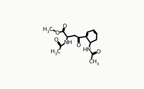 COC(=O)C(CC(=O)C1=CC=CCC1NC(C)=O)NC(C)=O